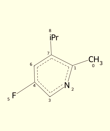 Cc1ncc(F)cc1C(C)C